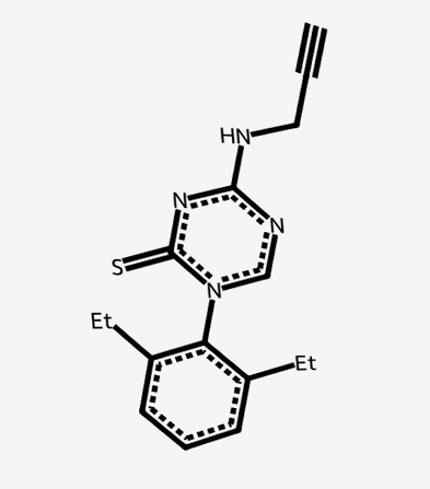 C#CCNc1ncn(-c2c(CC)cccc2CC)c(=S)n1